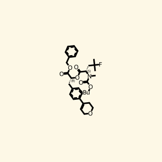 CN(C(=O)OC(C)(C)C)[C@@H](CC(C)(C)F)C(=O)O[C@H](Cc1ccc(C2=CCOCC2)cc1)C(=O)OCc1ccccc1